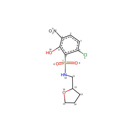 O=[N+]([O-])c1ccc(Cl)c(S(=O)(=O)NCC2CCCO2)c1O